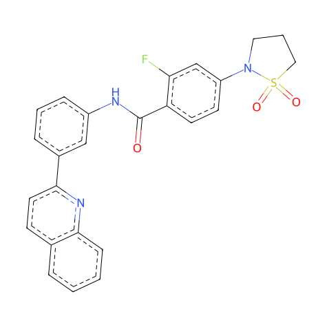 O=C(Nc1cccc(-c2ccc3ccccc3n2)c1)c1ccc(N2CCCS2(=O)=O)cc1F